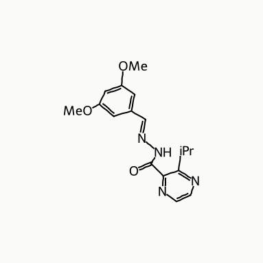 COc1cc(/C=N/NC(=O)c2nccnc2C(C)C)cc(OC)c1